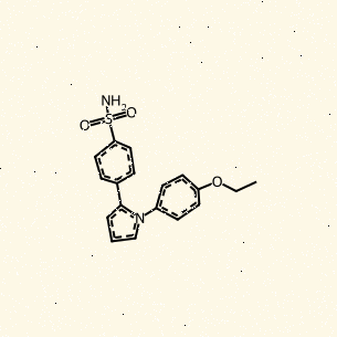 CCOc1ccc(-n2cccc2-c2ccc(S(N)(=O)=O)cc2)cc1